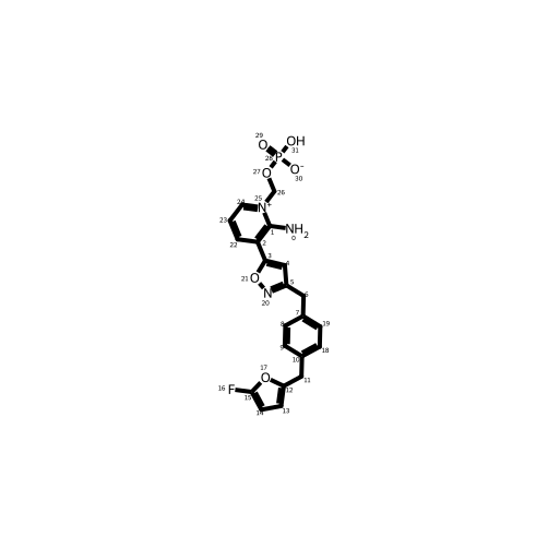 Nc1c(-c2cc(Cc3ccc(Cc4ccc(F)o4)cc3)no2)ccc[n+]1COP(=O)([O-])O